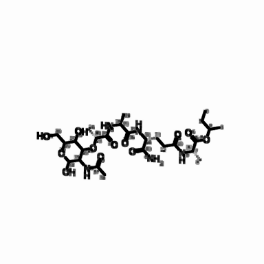 CCC(C)OC(=O)[C@H](C)NC(=O)CC[C@@H](NC(=O)[C@H](C)NC(=O)[C@@H](C)OC1C(O)C(CO)OC(O)C1NC(C)=O)C(N)=O